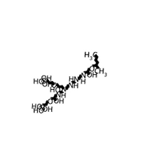 CCCCC(CC)COCC(O)CNCCNCCNCCN(CCNCC(O)COCCC[Si](O)(O)O)CC(O)COCCC[Si](O)(O)O